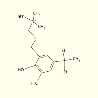 CCC[N+](C)(C)CCCc1cc(C(C)(CC)CC)cc(C)c1O